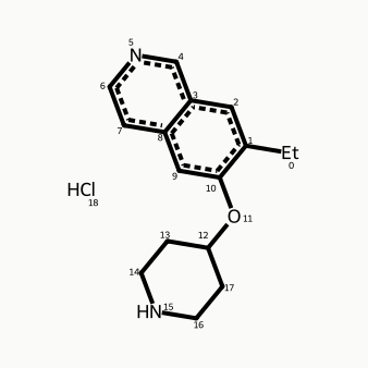 CCc1cc2cnccc2cc1OC1CCNCC1.Cl